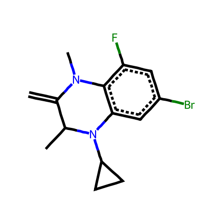 C=C1C(C)N(C2CC2)c2cc(Br)cc(F)c2N1C